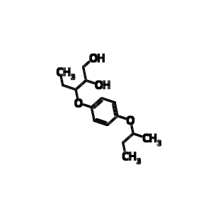 CCC(C)Oc1ccc(OC(CC)C(O)CO)cc1